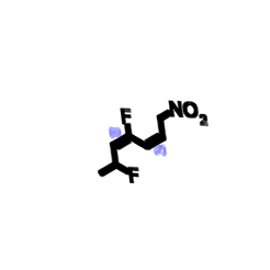 CC(F)/C=C(F)\C=C/C[N+](=O)[O-]